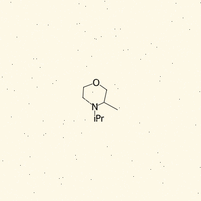 CC(C)N1CCOCC1C